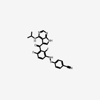 CC(C)Nc1ncnc2[nH]cc(C(=O)c3c(F)ccc(NSc4ccc(C#N)cc4)c3F)c12